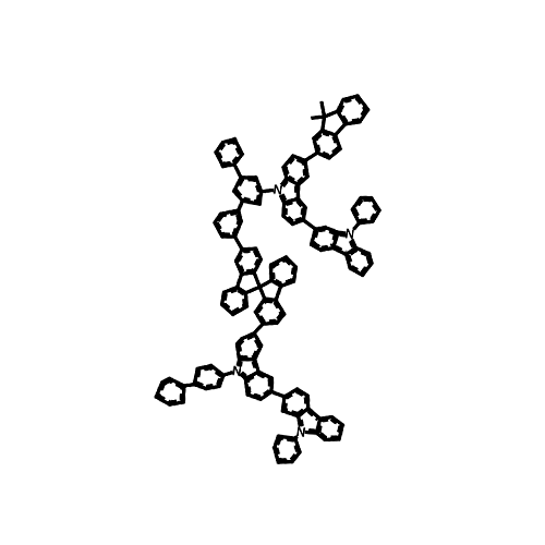 CC1(C)c2ccccc2-c2ccc(-c3ccc4c(c3)c3cc(-c5ccc6c7ccccc7n(-c7ccccc7)c6c5)ccc3n4-c3cc(-c4ccccc4)cc(-c4cccc(-c5ccc6c(c5)-c5ccccc5C65c6ccccc6-c6ccc(-c7ccc8c(c7)c7cc(-c9ccc%10c%11ccccc%11n(-c%11ccccc%11)c%10c9)ccc7n8-c7ccc(-c8ccccc8)cc7)cc65)c4)c3)cc21